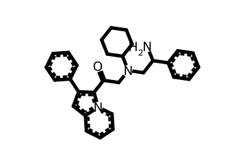 NC(CN(CC(=O)c1c(-c2ccccc2)cc2ccccn12)C1CCCCC1)c1ccccc1